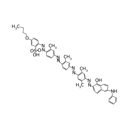 CCCCOc1ccc(N=Nc2ccc(N=Nc3ccc(N=Nc4cc(C)c(N=Nc5ccc6cc(Nc7ccccc7)ccc6c5O)cc4C)cc3C)cc2C)c(S(=O)(=O)O)c1